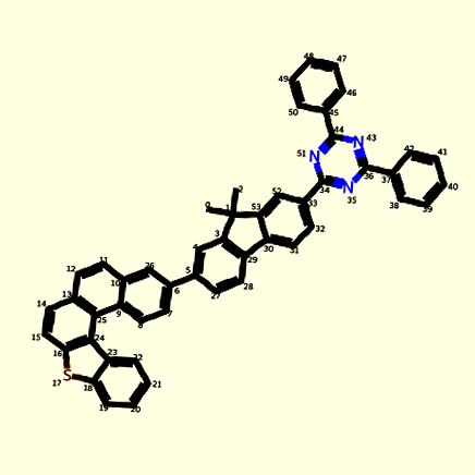 CC1(C)c2cc(-c3ccc4c(ccc5ccc6sc7ccccc7c6c54)c3)ccc2-c2ccc(-c3nc(-c4ccccc4)nc(-c4ccccc4)n3)cc21